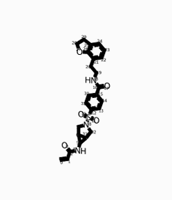 C=CC(=O)NC1C2CN(S(=O)(=O)c3ccc(C(=O)NCCc4cccc5c4OCC5)cc3)CC21